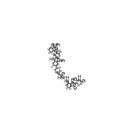 Cc1cc(Nc2ncc(C)c(Nc3ccccc3S(=O)(=O)C(C)C)n2)c(OC(C)C)cc1C1CCN(CC(=O)NCCNc2cccc3c2C(=O)N(C2CCC(=O)NC2=O)C3=O)CC1